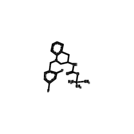 CC(C)(C)OC(=O)NC1Cc2ccccc2N(Cc2ccc(F)cc2F)C1